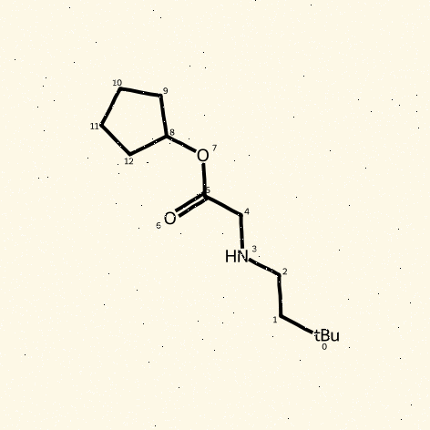 CC(C)(C)CCNCC(=O)OC1CCCC1